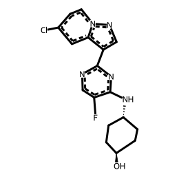 O[C@H]1CC[C@H](Nc2nc(-c3cnn4ccc(Cl)cc34)ncc2F)CC1